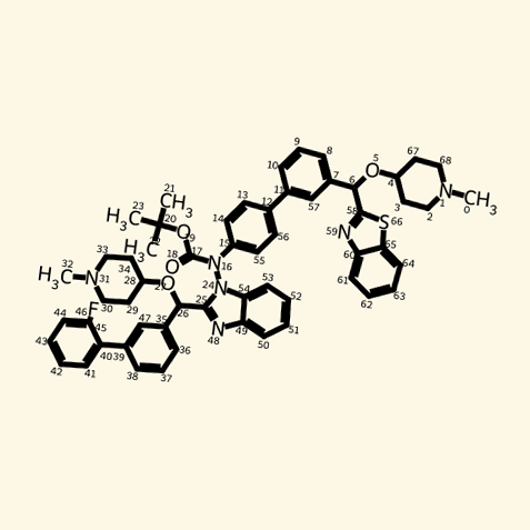 CN1CCC(OC(c2cccc(-c3ccc(N(C(=O)OC(C)(C)C)n4c(C(OC5CCN(C)CC5)c5cccc(-c6ccccc6F)c5)nc5ccccc54)cc3)c2)c2nc3ccccc3s2)CC1